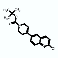 CC(C)(C)OC(=O)N1CC=C(c2ccc3nc(Cl)ccc3c2)CC1